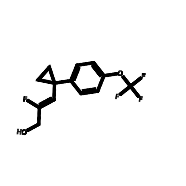 OCC(F)=CC1(c2ccc(OC(F)(F)F)cc2)CC1